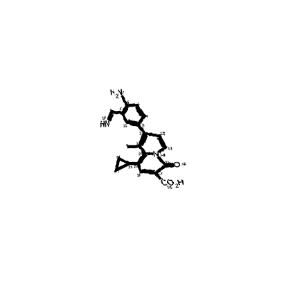 Cc1c(-c2ccc(N)c(C=N)c2)ccn2c(=O)c(C(=O)O)cc(C3CC3)c12